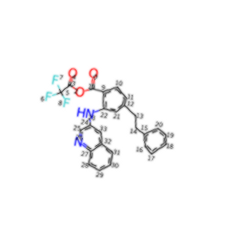 O=C(OC(=O)C(F)(F)F)c1ccc(CCc2ccccc2)cc1Nc1cnc2ccccc2c1